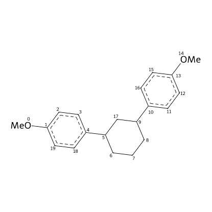 COc1ccc(C2CCCC(c3ccc(OC)cc3)C2)cc1